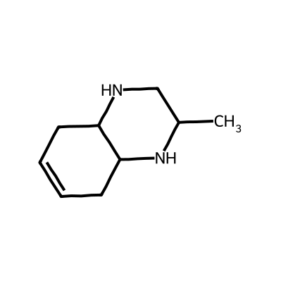 CC1CNC2CC=CCC2N1